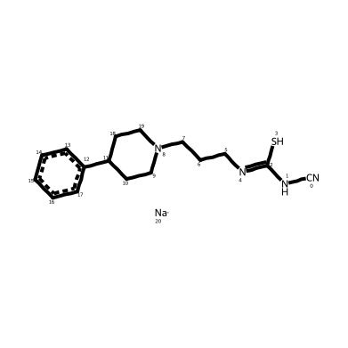 N#CNC(S)=NCCCN1CCC(c2ccccc2)CC1.[Na]